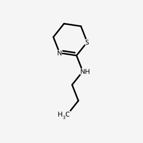 CCCNC1=NCCCS1